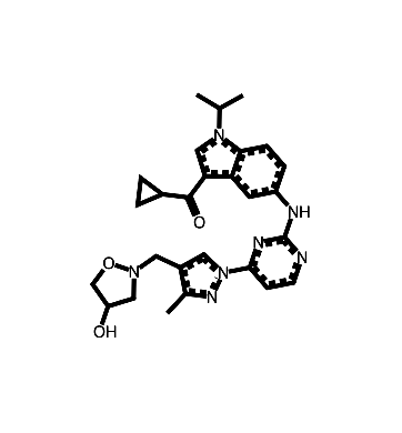 Cc1nn(-c2ccnc(Nc3ccc4c(c3)c(C(=O)C3CC3)cn4C(C)C)n2)cc1CN1CC(O)CO1